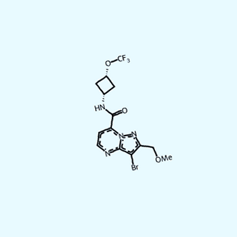 COCc1nn2c(C(=O)N[C@H]3C[C@@H](OC(F)(F)F)C3)ccnc2c1Br